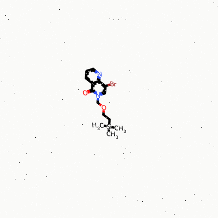 C[Si](C)(C)CCOCn1cc(Br)c2ncccc2c1=O